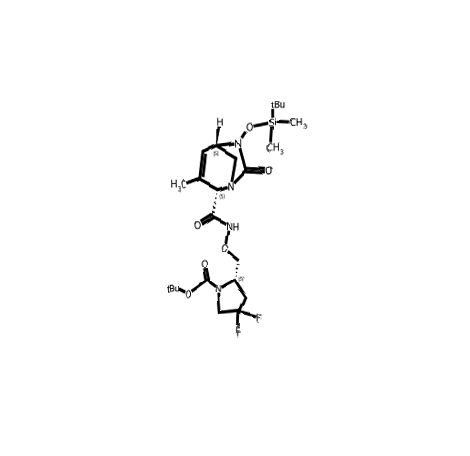 CC1=C[C@H]2CN(C(=O)N2O[Si](C)(C)C(C)(C)C)[C@@H]1C(=O)NOC[C@@H]1CC(F)(F)CN1C(=O)OC(C)(C)C